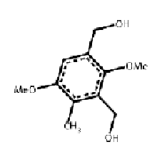 COc1cc(CO)c(OC)c(CO)c1C